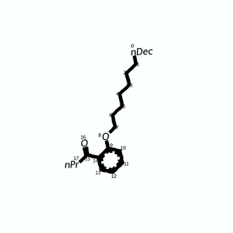 CCCCCCCCCCCCCCCCCOc1ccccc1C(=O)CCC